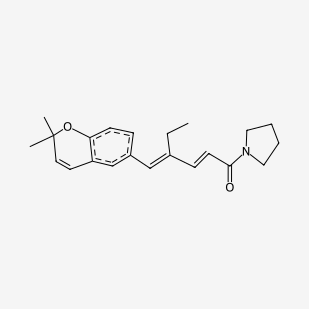 CCC(/C=C/C(=O)N1CCCC1)=C\c1ccc2c(c1)C=CC(C)(C)O2